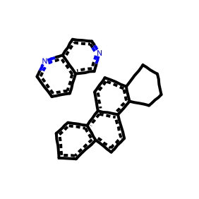 c1ccc2c(c1)ccc1c3c(ccc12)CCCC3.c1cnc2ccncc2c1